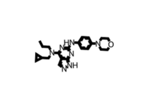 CCCN(CC1CC1)c1nc(Nc2ccc(N3CCOCC3)cc2)nc2[nH]ncc12